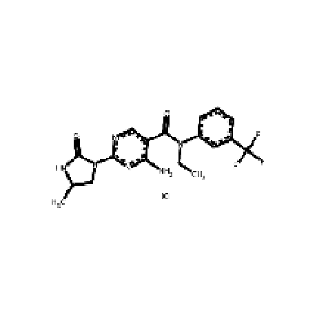 CCN(C(=O)c1cnc(N2CC(C)NC2=O)nc1N)c1cccc(C(F)(F)F)c1.Cl